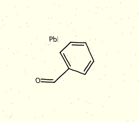 O=Cc1ccccc1.[Pb]